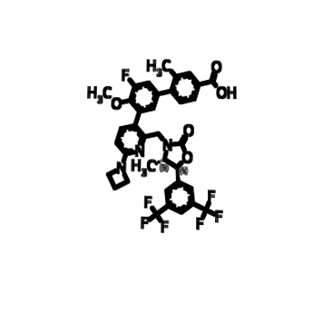 COc1c(F)cc(-c2ccc(C(=O)O)cc2C)cc1-c1ccc(N2CCC2)nc1CN1C(=O)O[C@@H](c2cc(C(F)(F)F)cc(C(F)(F)F)c2)[C@@H]1C